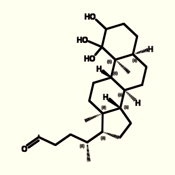 C[C@H](CC[C]=O)[C@H]1CC[C@H]2[C@@H]3CC[C@@H]4CCC(O)C(O)(O)[C@]4(C)[C@H]3CC[C@]12C